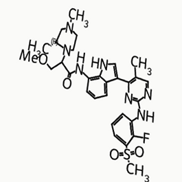 COCC(C(=O)Nc1cccc2c(-c3nc(Nc4cccc(S(C)(=O)=O)c4F)ncc3C)c[nH]c12)N1CCN(C)C[C@H]1C